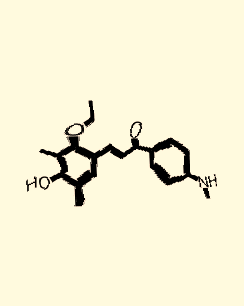 CCOc1c(C=CC(=O)c2ccc(NC)cc2)cc(C)c(O)c1C